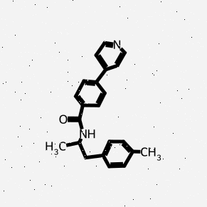 Cc1ccc(CC(C)NC(=O)c2ccc(-c3ccncc3)cc2)cc1